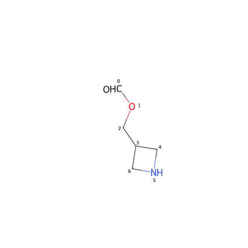 O=COCC1CNC1